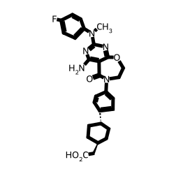 CN(c1ccc(F)cc1)c1nc(N)c2c(n1)OCCN(c1ccc([C@H]3CC[C@H](CC(=O)O)CC3)cc1)C2=O